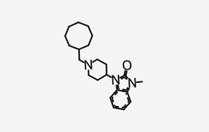 Cn1c(=O)n(C2CCN(CC3CCCCCCC3)CC2)c2ccccc21